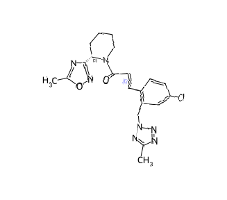 Cc1nnn(Cc2cc(Cl)ccc2/C=C/C(=O)N2CCCC[C@H]2c2noc(C)n2)n1